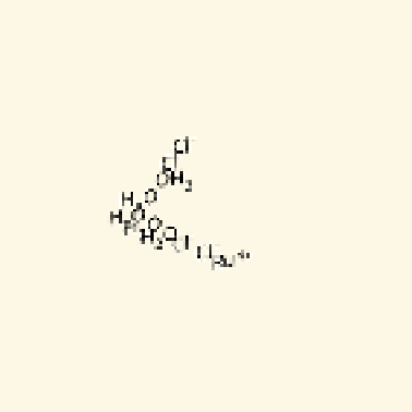 O.O.O.O.O.[Cl-].[Cl-].[Cl-].[Cl-].[Ru+4]